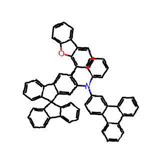 c1ccc(N(c2ccc3c4ccccc4c4ccccc4c3c2)c2cc3c(cc2-c2cccc4c2oc2ccccc24)-c2ccccc2C32c3ccccc3-c3ccccc32)cc1